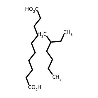 CCCCC(C)CC.O=C(O)CCCCCCCCC(=O)O